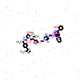 Cc1ncsc1-c1ccc([C@H](C)NC(=O)[C@@H]2C[C@@H](O)CN2C(=O)[C@@H](c2cc(OCCN3C[C@H]4C[C@@H]3CN4CCOc3cc(N4C5CCC4CN(c4cc(-c6ccccc6O)nnc4N)C5)ccn3)no2)C(C)C)cc1